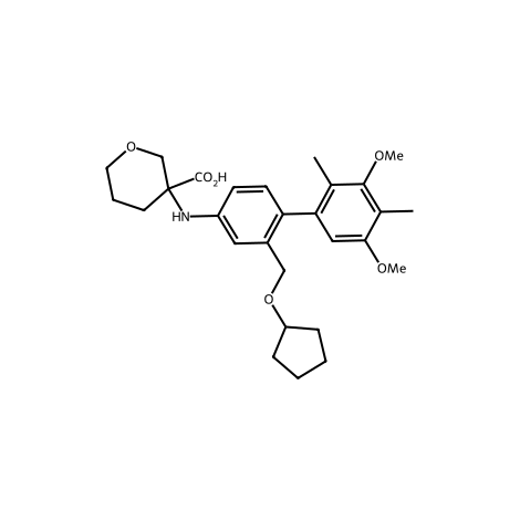 COc1cc(-c2ccc(NC3(C(=O)O)CCCOC3)cc2COC2CCCC2)c(C)c(OC)c1C